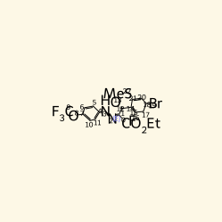 CCOC(=O)/C(=N/Nc1ccc(OC(F)(F)F)cc1)C(=O)C1=C(F)CC(Br)C=C1SC